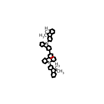 CC1(C)C2=CC(N(c3ccccc3)c3ccccc3-c3cccc(-c4ccc5c(c4)c4ccccc4n5-c4ccc5c(c4)C(C)(C)c4ccccc4-5)c3)=CCC2c2ccccc21